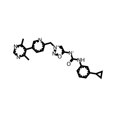 Cc1ncnc(C)c1-c1ccc(C[n+]2cc([N-]C(=O)Nc3cccc(C4CC4)c3)on2)nc1